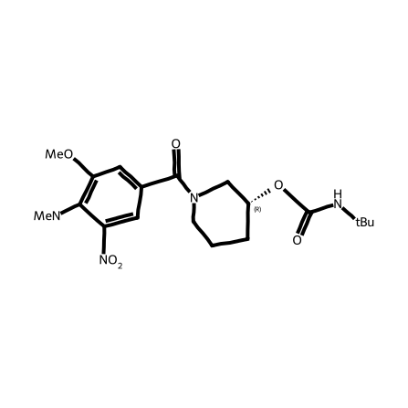 CNc1c(OC)cc(C(=O)N2CCC[C@@H](OC(=O)NC(C)(C)C)C2)cc1[N+](=O)[O-]